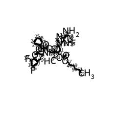 C#C[C@]1(CO[P@@](=O)(N[C@@H](Cc2cc(F)cc(F)c2)C(=O)O)Oc2ccccc2)O[C@@H](n2cnc3c(N)nc(F)nc32)C[C@@H]1OC(=O)OCCCCCC